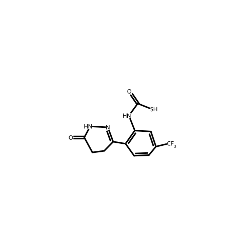 O=C(S)Nc1cc(C(F)(F)F)ccc1C1=NNC(=O)CC1